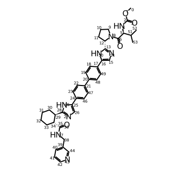 COC(=O)N[C@H](C(=O)N1CCC[C@H]1c1ncc(-c2ccc(-c3ccc(-c4cnc([C@@H]5CCCC[C@H]5C(=O)NCc5cccnc5)[nH]4)cc3)cc2)[nH]1)C(C)C